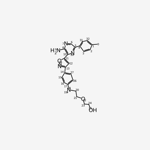 Cc1ccc(-c2cnc(N)c(-c3cc(-c4ccc(N(C)CCOCCO)cc4)no3)n2)cc1